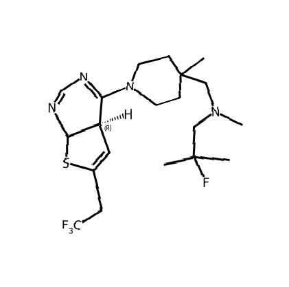 CN(CC(C)(C)F)CC1(C)CCN(C2=NC=NC3SC(CC(F)(F)F)=C[C@H]23)CC1